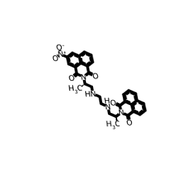 C[C@@H](CNCCNC[C@H](C)N1C(=O)c2cccc3cc([N+](=O)[O-])cc(c23)C1=O)N1C(=O)c2cccc3cccc(c23)C1=O